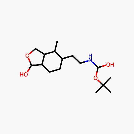 CC1C(CCNC(O)OC(C)(C)C)CCC2C(O)OCC12